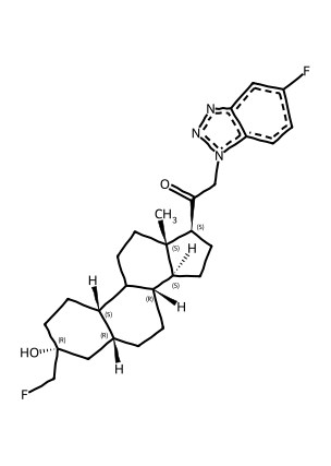 C[C@]12CCC3[C@H]4CC[C@](O)(CF)C[C@H]4CC[C@H]3[C@@H]1CC[C@@H]2C(=O)Cn1nnc2cc(F)ccc21